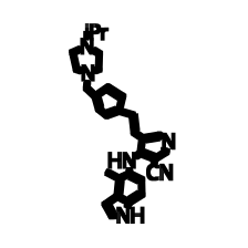 Cc1c(Nc2c(C#N)cncc2C=Cc2ccc(CN3CCN(C(C)C)CC3)cc2)ccc2[nH]ccc12